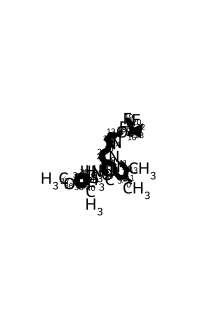 CC[C@H]1CC(C)(C)N(c2nc(-n3ccc(OCC4(C(F)(F)F)CC4)n3)ccc2C(=O)NSc2ccc(OC)cc2C)CC1C